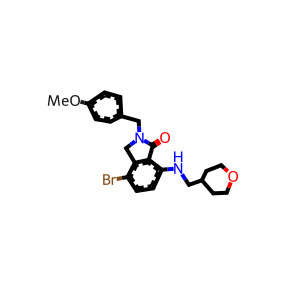 COc1ccc(CN2Cc3c(Br)ccc(NCC4CCOCC4)c3C2=O)cc1